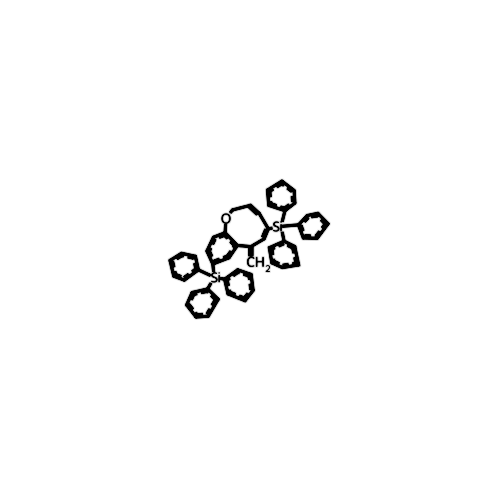 C=C1/C=C([Si](c2ccccc2)(c2ccccc2)c2ccccc2)\C=C/COc2ccc([Si](c3ccccc3)(c3ccccc3)c3ccccc3)cc21